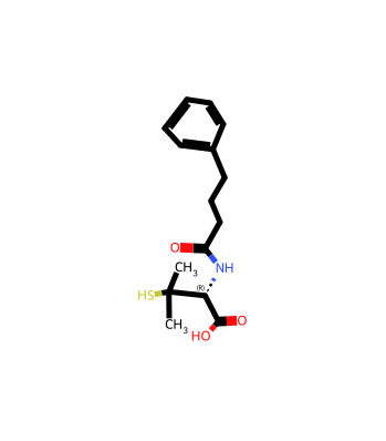 CC(C)(S)[C@H](NC(=O)CCCc1ccccc1)C(=O)O